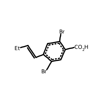 CCC=Cc1cc(Br)c(C(=O)O)cc1Br